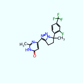 Cc1nc(-c2nnn3c2CCC3(C)c2ccc(C(F)(F)F)cc2F)cc(=O)[nH]1